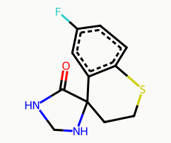 O=C1NCNC12CCSc1ccc(F)cc12